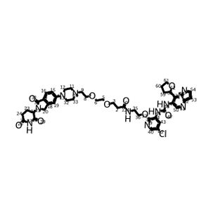 O=C(CCOCCOCCN1CCN(c2ccc3c(c2)CN(C2CCC(=O)NC2=O)C3=O)CC1)NCCOc1ncc(Cl)cc1NC(=O)Nc1cnc2ccnn2c1C1CCCO1